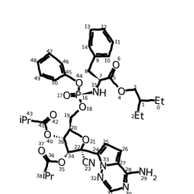 CCC(CC)COC(=O)[C@H](Cc1ccccc1)N[P@](=O)(OC[C@H]1O[C@@](C#N)(c2ccc3c(N)ncnn23)[C@H](OC(=O)C(C)C)[C@@H]1OC(=O)C(C)C)Oc1ccccc1